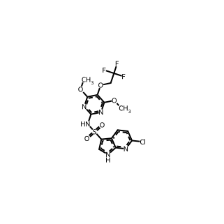 COc1nc(NS(=O)(=O)c2c[nH]c3nc(Cl)ccc23)nc(OC)c1OCC(F)(F)F